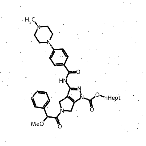 CCCCCCCOC(=O)n1nc(NC(=O)c2ccc(N3CCN(C)CC3)cc2)c2c1CN(C(=O)C(OC)c1ccccc1)C2